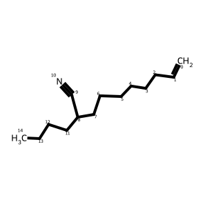 C=CCCCCCCC(C#N)CCCC